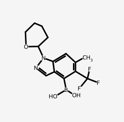 Cc1cc2c(cnn2C2CCCCO2)c(B(O)O)c1C(F)(F)F